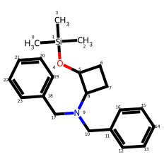 C[Si](C)(C)OC1CCC1N(Cc1ccccc1)Cc1ccccc1